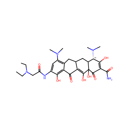 CCN(CC)CC(=O)Nc1cc(N(C)C)c2c(c1O)C(=O)C1=C(O)C3(O)C(=O)C(C(N)=O)=C(O)[C@@H](N(C)C)C3CC1C2